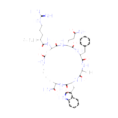 CC(=O)N[C@@H](CCCNC(=N)N)C(=O)NC1CC(=O)NCCCCC(C(N)=O)NC(=O)[C@H](Cc2c[nH]c3ccccc23)NC(=O)C(C)NC(=O)C(Cc2ccccc2)NC(=O)[C@H](CCC(N)=O)NC1=O